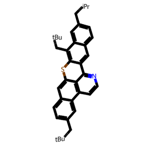 CC(C)Cc1ccc2cc3c(c(CC(C)(C)C)c2c1)Sc1cc2ccc(CC(C)(C)C)cc2c2ccnc-3c12